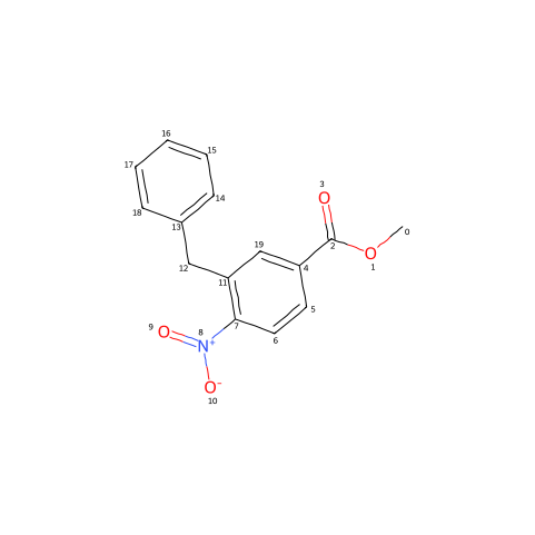 COC(=O)c1ccc([N+](=O)[O-])c(Cc2ccccc2)c1